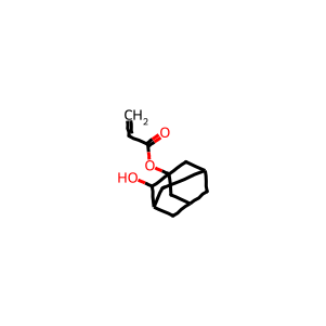 C=CC(=O)OC12CC3CC(CC(C3)C1O)C2